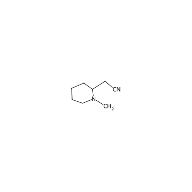 [CH2]N1CCCCC1CC#N